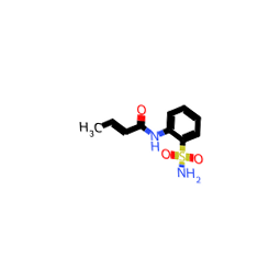 CC=CC(=O)Nc1ccccc1S(N)(=O)=O